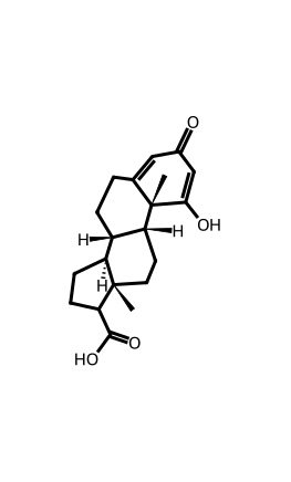 C[C@]12C(O)=CC(=O)C=C1CC[C@@H]1[C@H]2CC[C@]2(C)C(C(=O)O)CC[C@@H]12